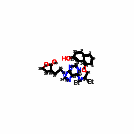 CC[C@H](COc1cccc2ccc(O)cc12)N(CC)c1ncnc2c1ncn2CCC1CCOC1=O